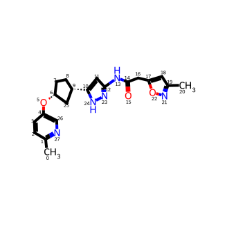 Cc1ccc(O[C@@H]2CC[C@H](c3cc(NC(=O)Cc4cc(C)no4)n[nH]3)C2)cn1